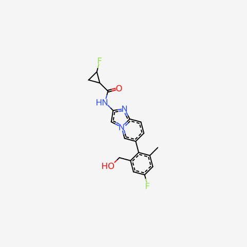 Cc1cc(F)cc(CO)c1-c1ccc2nc(NC(=O)C3CC3F)cn2c1